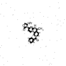 CC(C)[C@H]1COC(=O)N1c1ccnc(N[C@@H](C)C2CCN(C(=O)c3ccncc3)CC2)n1